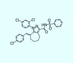 O=C(NS(=O)(=O)c1ccccc1)c1nn(-c2ccc(Cl)cc2Cl)c2c1CCCCC2=Cc1ccc(Cl)cc1